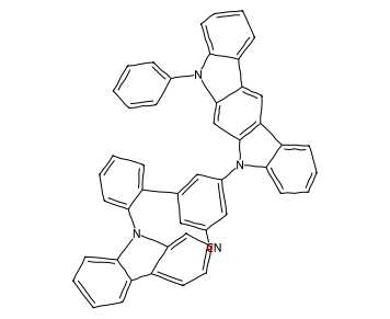 N#Cc1cc(-c2ccccc2-n2c3ccccc3c3ccccc32)cc(-n2c3ccccc3c3cc4c5ccccc5n(-c5ccccc5)c4cc32)c1